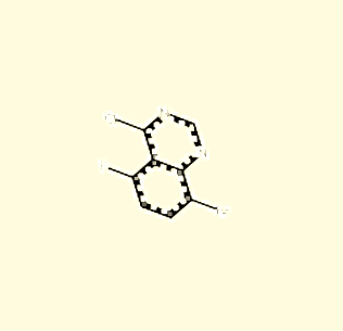 Fc1ccc(Br)c2ncnc(Cl)c12